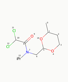 CC1CCOC(CN(C(=O)C(Cl)Cl)C(C)C)O1